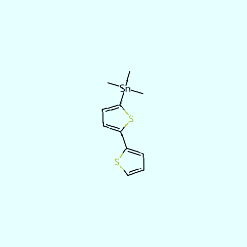 [CH3][Sn]([CH3])([CH3])[c]1ccc(-c2cccs2)s1